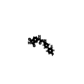 O=C(Nc1ccc2c(c1)C(=O)NC2=O)NC1C2CN(c3ccc(F)cc3F)CC21